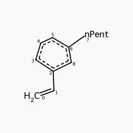 C=Cc1cccc(CCCCC)c1